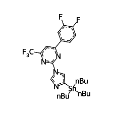 CCC[CH2][Sn]([CH2]CCC)([CH2]CCC)[c]1cn(-c2nc(-c3ccc(F)c(F)c3)cc(C(F)(F)F)n2)cn1